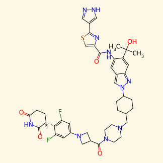 CC(C)(O)c1cc2nn(C3CCC(CN4CCN(C(=O)C5CN(c6cc(F)c([C@H]7CCC(=O)NC7=O)c(F)c6)C5)CC4)CC3)cc2cc1NC(=O)c1csc(-c2cn[nH]c2)n1